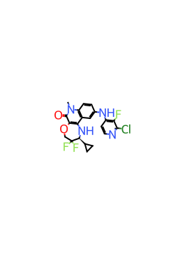 Cn1c(=O)c2c(c3cc(Nc4ccnc(Cl)c4F)ccc31)N[C@@H](C1CC1)C(F)(F)CO2